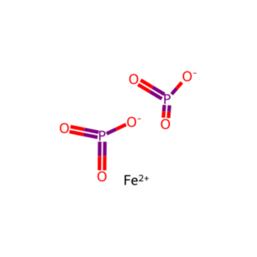 O=P(=O)[O-].O=P(=O)[O-].[Fe+2]